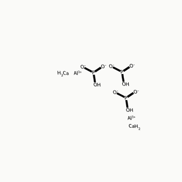 [Al+3].[Al+3].[CaH2].[CaH2].[O-]P([O-])O.[O-]P([O-])O.[O-]P([O-])O